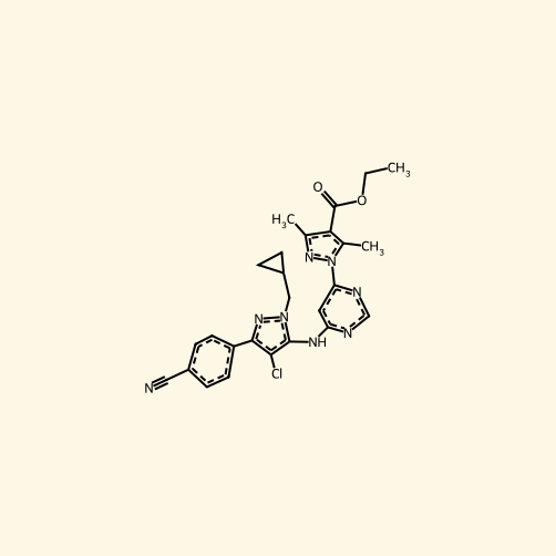 CCOC(=O)c1c(C)nn(-c2cc(Nc3c(Cl)c(-c4ccc(C#N)cc4)nn3CC3CC3)ncn2)c1C